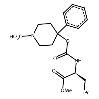 COC(=O)[C@H](CC(C)C)NC(=O)OC1(c2ccccc2)CCN(C(=O)O)CC1